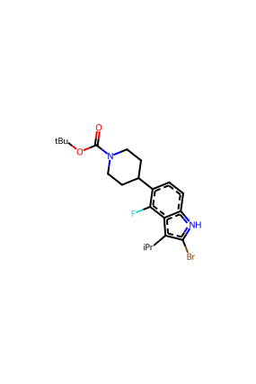 CC(C)c1c(Br)[nH]c2ccc(C3CCN(C(=O)OC(C)(C)C)CC3)c(F)c12